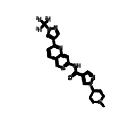 [2H]C([2H])([2H])n1cc(-c2ccc3cnc(NC(=O)c4cnn(C5CCN(C)CC5)c4)cc3n2)cn1